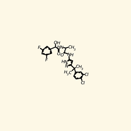 CC(NC(=O)C(O)c1cc(F)cc(F)c1)C(=O)Nc1cc(C(C)(C)c2ccc(Cl)c(Cl)c2)n[nH]1